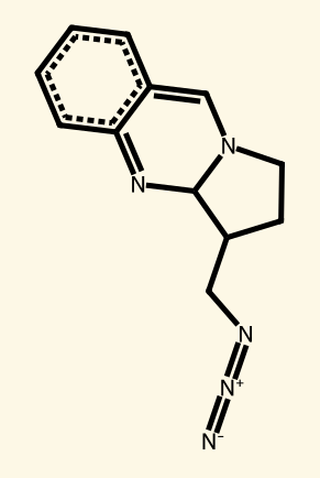 [N-]=[N+]=NCC1CCN2C=c3ccccc3=NC12